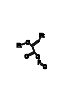 CCC=C(OCC)C(=O)OP=O